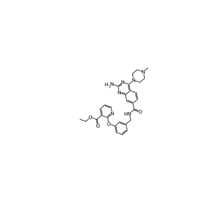 CCOC(=O)c1cccnc1Oc1cccc(CNC(=O)c2ccc3c(N4CCN(C)CC4)nc(N)nc3c2)c1